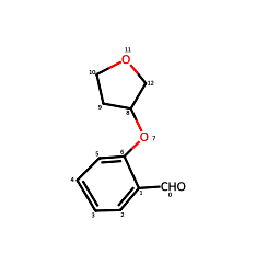 O=Cc1ccccc1OC1CCOC1